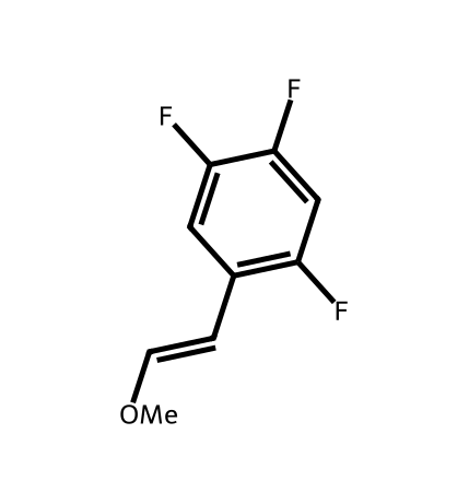 COC=Cc1cc(F)c(F)cc1F